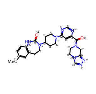 COc1ccc2c(c1)CCN(C1CCN(c3cc(C(=O)N4CCn5cnnc5C4)ncn3)CC1)C(=O)N2